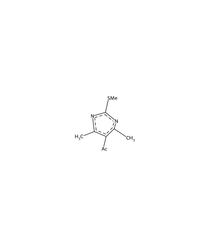 CSc1nc(C)c(C(C)=O)c(C)n1